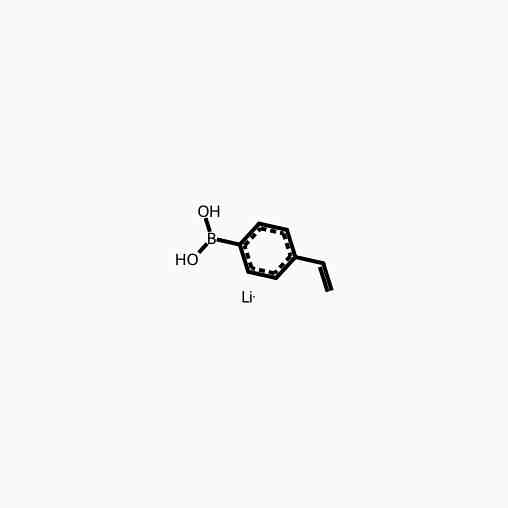 C=Cc1ccc(B(O)O)cc1.[Li]